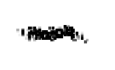 C=CC(=O)Nc1ccc(S(=O)(=O)N2CCN(c3cc(C)ccn3)CC2)cc1